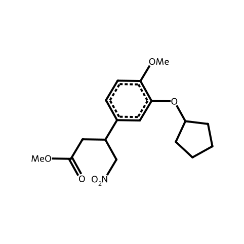 COC(=O)CC(C[N+](=O)[O-])c1ccc(OC)c(OC2CCCC2)c1